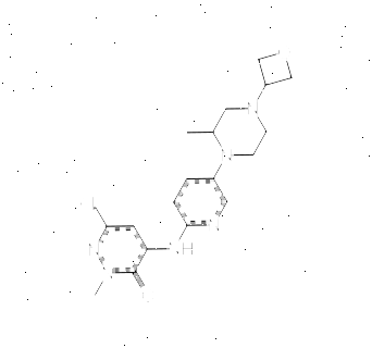 CC1CN(C2COC2)CCN1c1ccc(Nc2cc(Cl)nn(C)c2=O)nc1